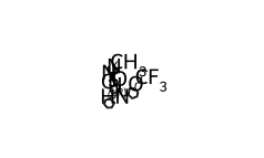 Cn1cnc(S(=O)(=O)N2C[C@H](Nc3cccc(OCC(F)(F)F)c3)[C@@H](c3ccccc3)C2)c1